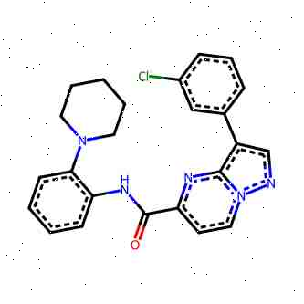 O=C(Nc1ccccc1N1CCCCC1)c1ccn2ncc(-c3cccc(Cl)c3)c2n1